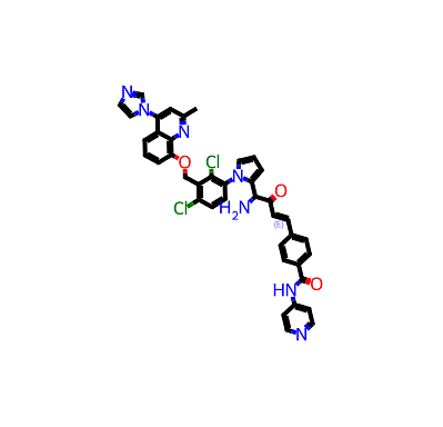 Cc1cc(-n2ccnc2)c2cccc(OCc3c(Cl)ccc(-n4cccc4C(N)C(=O)/C=C/c4ccc(C(=O)Nc5ccncc5)cc4)c3Cl)c2n1